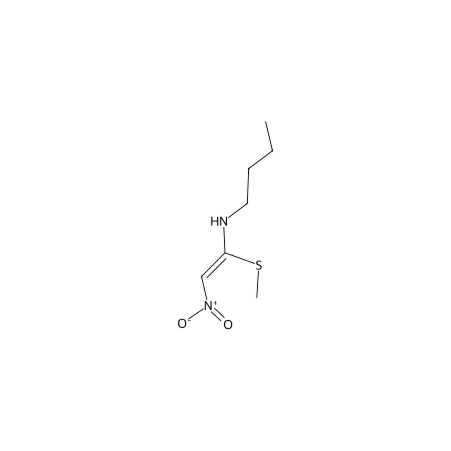 CCCCNC(=C[N+](=O)[O-])SC